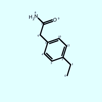 CCc1ccc(CC(N)=O)cc1